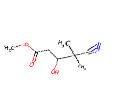 COC(=O)CC(O)C(C)(C)C#N